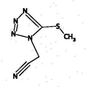 CSc1nnnn1CC#N